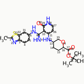 Cc1nc2ccc(NC(=N)c3c(NC4CCC(C(=O)OC(C)(C)C)OC4)cc[nH]c3=O)cc2s1